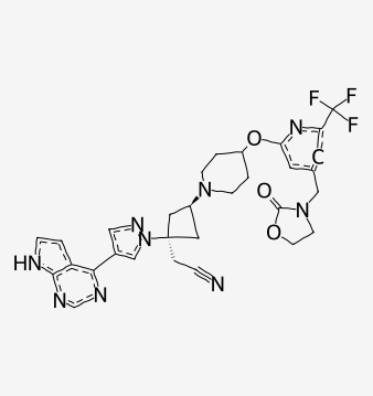 N#CC[C@]1(n2cc(-c3ncnc4[nH]ccc34)cn2)C[C@@H](N2CCC(Oc3cc(CN4CCOC4=O)cc(C(F)(F)F)n3)CC2)C1